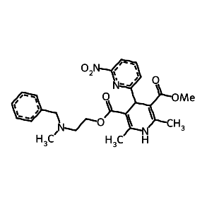 COC(=O)C1=C(C)NC(C)=C(C(=O)OCCN(C)Cc2ccccc2)C1c1cccc([N+](=O)[O-])n1